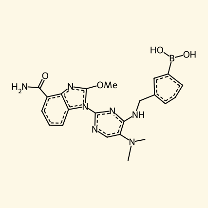 COc1nc2c(C(N)=O)cccc2n1-c1ncc(N(C)C)c(NCc2cccc(B(O)O)c2)n1